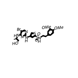 COc1ccc(CCNS(=O)(=O)c2cc(Nc3ncc(Br)c(N[C@H](C)CO)n3)cs2)cc1OC